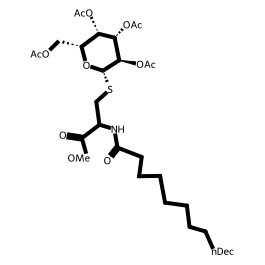 CCCCCCCCCCCCCCCCCC(=O)NC(CS[C@@H]1O[C@H](COC(C)=O)[C@H](OC(C)=O)[C@H](OC(C)=O)[C@H]1OC(C)=O)C(=O)OC